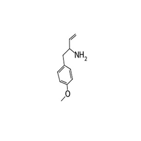 C=CC(N)Cc1ccc(OC)cc1